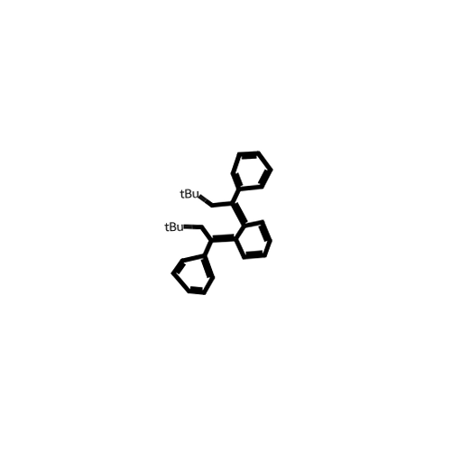 CC(C)(C)CC(c1ccccc1)=c1ccccc1=C(CC(C)(C)C)c1ccccc1